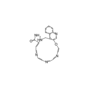 NC(=O)C1=CC=NC=CN=CC=NC=COc2cnc3ccccc3c2CN1